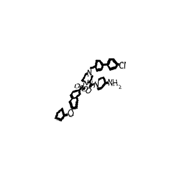 NC1CCN(C(=O)[C@@H]2CN(Cc3ccc(-c4ccc(Cl)cc4)cc3)CCN2S(=O)(=O)c2ccc3cc(OC4CCCC4)ccc3c2)CC1